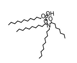 CCCCCCCCCCCOP(=O)(O)OC(CCCCCC)N(CCCCCCCCCC)CCCCCCCCCC